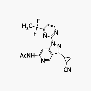 CC(=O)Nc1cc2c(cn1)c(C1CC1C#N)nn2-c1nccc(C(C)(F)F)n1